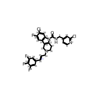 O=C(NCc1ccnc(Cl)c1)n1c2c(c3cc(F)c(Cl)cc31)CN(C/C=C/c1cc(F)c(F)c(F)c1)CC2